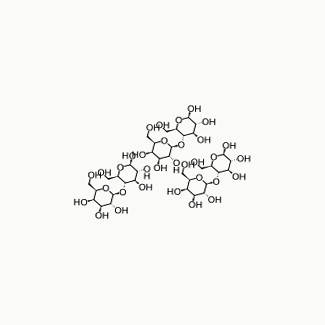 OC[C@H]1O[C@@H](O[C@H]2[C@H](O)[C@@H](O)[C@H](O)O[C@@H]2CO)[C@H](O)[C@@H](O)[C@H]1O.OC[C@H]1O[C@@H](O[C@H]2[C@H](O)[C@@H](O)[C@H](O)O[C@@H]2CO)[C@H](O)[C@@H](O)[C@H]1O.OC[C@H]1O[C@@H](O[C@H]2[C@H](O)[C@@H](O)[C@H](O)O[C@@H]2CO)[C@H](O)[C@@H](O)[C@H]1O